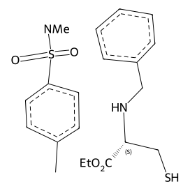 CCOC(=O)[C@@H](CS)NCc1ccccc1.CNS(=O)(=O)c1ccc(C)cc1